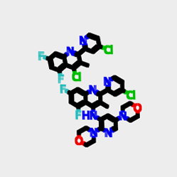 Cc1c(-c2cc(Cl)ccn2)nc2cc(F)cc(F)c2c1Cl.Cc1c(-c2cc(Cl)ccn2)nc2cc(F)cc(F)c2c1Nc1cc(N2CCOCC2)cnc1N1CCOCC1